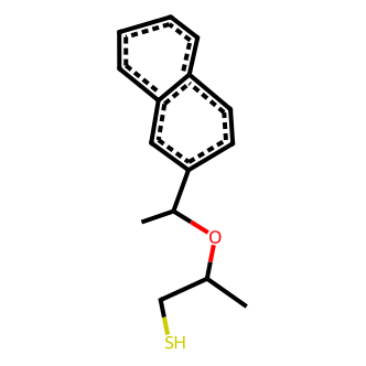 CC(CS)OC(C)c1ccc2ccccc2c1